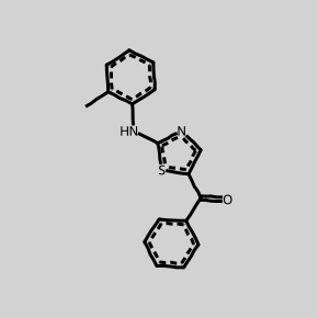 Cc1ccccc1Nc1ncc(C(=O)c2ccccc2)s1